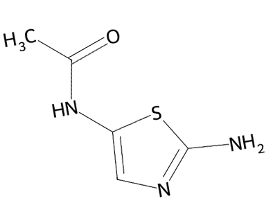 CC(=O)Nc1cnc(N)s1